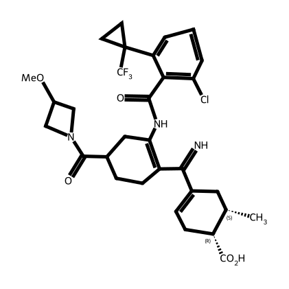 COC1CN(C(=O)C2CCC(C(=N)C3=CC[C@@H](C(=O)O)[C@@H](C)C3)=C(NC(=O)c3c(Cl)cccc3C3(C(F)(F)F)CC3)C2)C1